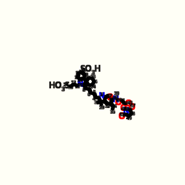 C=C1N=C(/C=C/C=C/C=C2/N(CCCS(=O)(=O)O)c3ccc(S(=O)(=O)O)cc3C23CCCCC3)C(C)(C)/C1=C/C(=C\C)C(=O)N(C)OCC(=O)ON1C(=O)CCC1=O